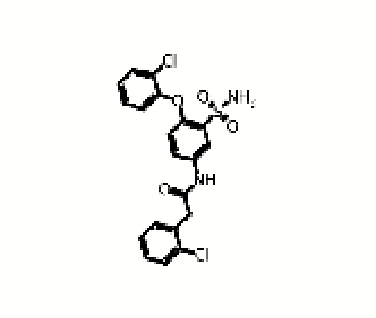 NS(=O)(=O)c1cc(NC(=O)Cc2ccccc2Cl)ccc1Oc1ccccc1Cl